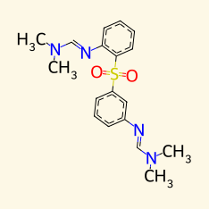 CN(C)/C=N/c1cccc(S(=O)(=O)c2ccccc2/N=C/N(C)C)c1